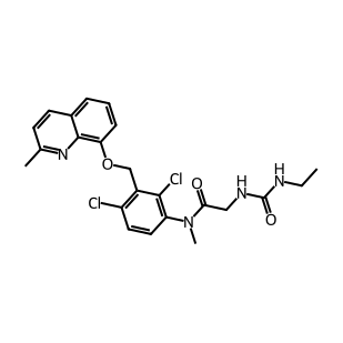 CCNC(=O)NCC(=O)N(C)c1ccc(Cl)c(COc2cccc3ccc(C)nc23)c1Cl